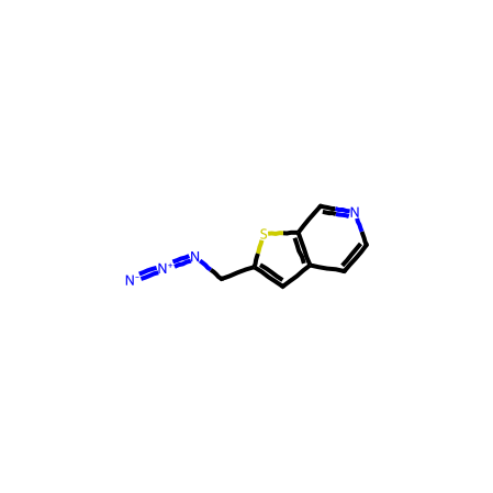 [N-]=[N+]=NCc1cc2ccncc2s1